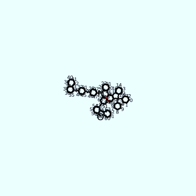 c1ccc(C2(c3ccccc3)c3ccccc3-c3c(-c4ccccc4N(c4ccc(-c5ccc(-c6cccc7ccccc67)cc5)cc4)c4cccc(-c5cccc6oc7ccccc7c56)c4)cccc32)cc1